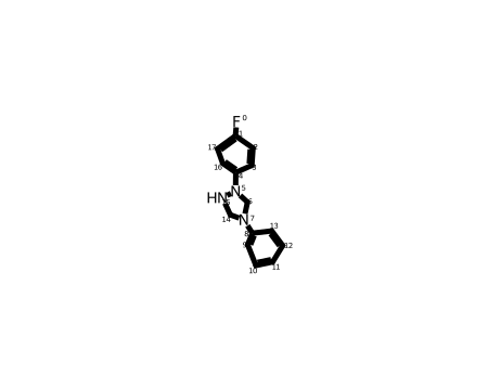 Fc1ccc(N2CN(c3ccccc3)CN2)cc1